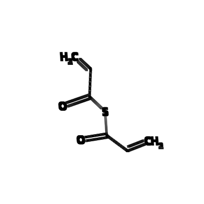 C=CC(=O)SC(=O)C=C